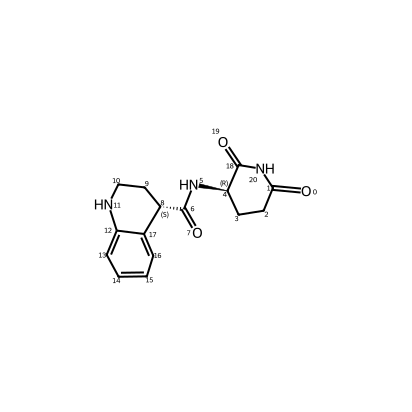 O=C1CC[C@@H](NC(=O)[C@H]2CCNc3ccccc32)C(=O)N1